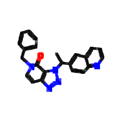 CC(c1ccc2ncccc2c1)n1nnc2ccn(Cc3ccccc3)c(=O)c21